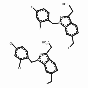 O=C(O)Cc1nn(Cc2ccc(Cl)cc2Cl)c2cc(CF)ccc12.O=C(O)Cc1nn(Cc2ccc(F)cc2F)c2cc(CF)ccc12